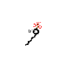 CCCCCCc1ccc(S(=O)(=O)[O-])cc1.[Li+]